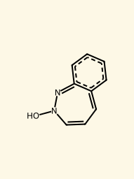 ON1C=CC=c2ccccc2=N1